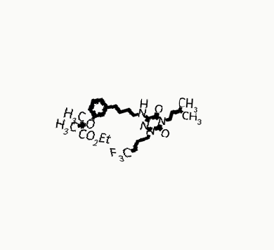 CCOC(=O)C(C)(C)Oc1cccc(CCCCNc2nn(CCCC(F)(F)F)c(=O)n(CC=C(C)C)c2=O)c1